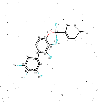 CC1CC=C(C(F)(F)Oc2ccc(-c3cc(F)c(F)c(F)c3)c(F)c2F)CC1